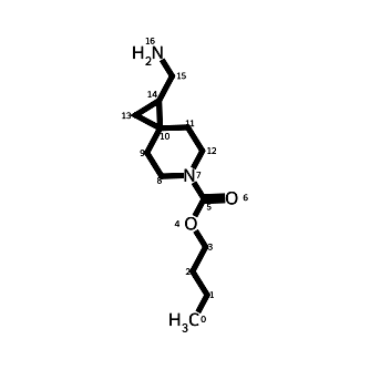 CCCCOC(=O)N1CCC2(CC1)CC2CN